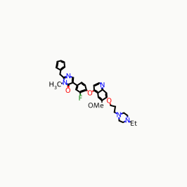 CCN1CCN(CCCOc2cc3nccc(Oc4ccc(-c5cnc(Cc6ccccc6)n(C)c5=O)cc4F)c3cc2OC)CC1